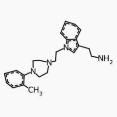 Cc1ccccc1N1CCN(CCn2cc(CCN)c3ccccc32)CC1